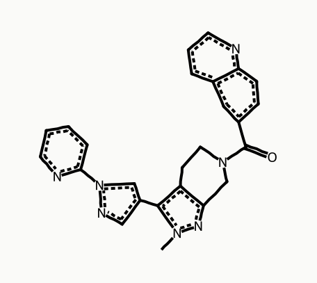 Cn1nc2c(c1-c1cnn(-c3ccccn3)c1)CCN(C(=O)c1ccc3ncccc3c1)C2